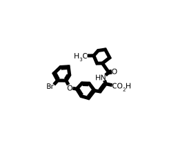 CC1CCCC(C(=O)N/C(=C\c2ccc(Oc3ccccc3Br)cc2)C(=O)O)C1